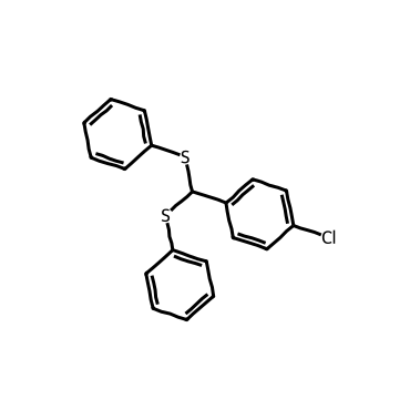 Clc1ccc(C(Sc2ccccc2)Sc2ccccc2)cc1